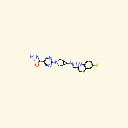 NC(=O)c1cnc(N2CC3C(C2)C3NCc2ccc3cc(F)ccc3n2)nc1